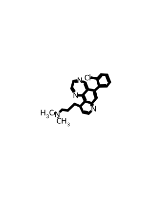 CN(C)CCCC1C=CN=c2cc(-c3ccccc3Cl)c3c(c21)N=CC=NC=3